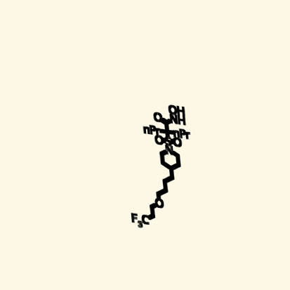 CCCC(CCC)(C(=O)NO)S(=O)(=O)N1CCC(CCCCOCCC(F)(F)F)CC1